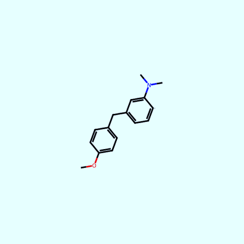 COc1ccc(Cc2cc[c]c(N(C)C)c2)cc1